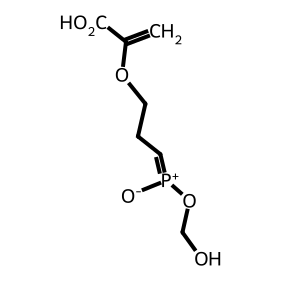 C=C(OCC/C=[P+](\[O-])OCO)C(=O)O